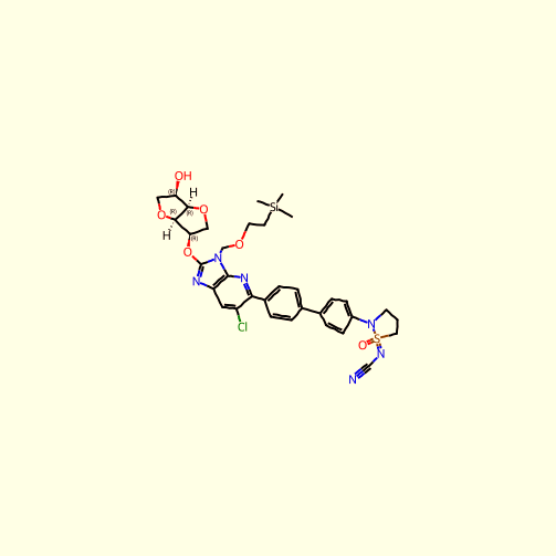 C[Si](C)(C)CCOCn1c(O[C@@H]2CO[C@H]3[C@@H]2OC[C@H]3O)nc2cc(Cl)c(-c3ccc(-c4ccc(N5CCCS5(=O)=NC#N)cc4)cc3)nc21